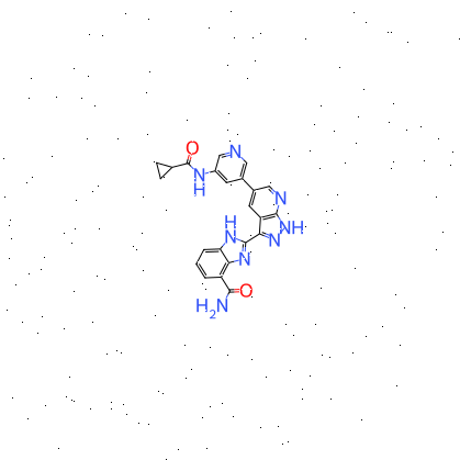 NC(=O)c1cccc2[nH]c(-c3n[nH]c4ncc(-c5cncc(NC(=O)C6CC6)c5)cc34)nc12